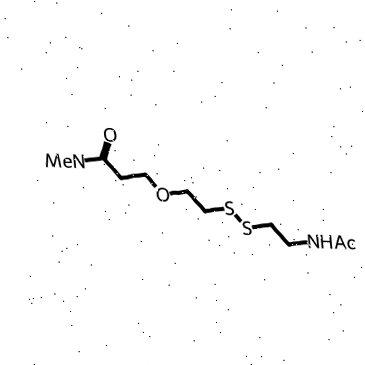 CNC(=O)CCOCCSSCCNC(C)=O